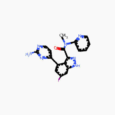 CN(C(=O)c1n[nH]c2cc(I)cc(-c3ccnc(N)n3)c12)c1ccccn1